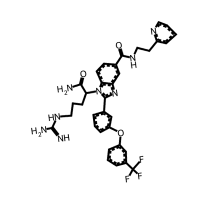 N=C(N)NCCCC(C(N)=O)n1c(-c2cccc(Oc3cccc(C(F)(F)F)c3)c2)nc2cc(C(=O)NCCc3ccccn3)ccc21